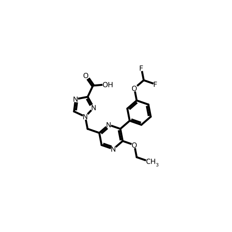 CCOc1ncc(Cn2cnc(C(=O)O)n2)nc1-c1cccc(OC(F)F)c1